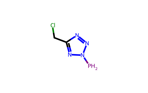 Pn1nnc(CCl)n1